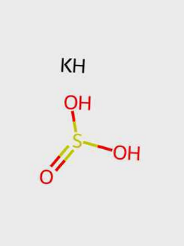 O=S(O)O.[KH]